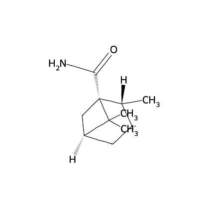 C[C@@H]1[CH]C[C@H]2C[C@]1(C(N)=O)C2(C)C